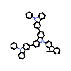 CC1(C)c2ccccc2-c2ccc(-n3c4ccc(-c5ccc6c(c5)c5ccccc5n6C5=CCCC=C5)cc4c4cc(-c5ccc6c(c5)c5ccccc5n6-c5ccccc5)ccc43)cc21